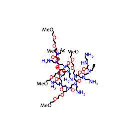 C#CCN(CC(=O)N(CCN)CC(=O)N(CCOCCOCCOC)CC(=O)N(CCN)CC(=O)N(CCOCCOCCOC)CC(=O)N(CCN)CC(=O)N(CCOCCOCCOC)CC(=O)N(CCN)CC(=O)N(CCOCCOCCOC)CC(=O)N(CCN)CC(=O)N(CCOCCOCCOC)CC(C)=O)C(=O)CNCCN